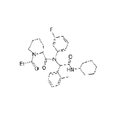 CCC(=O)N1CCCCC1C(=O)N(c1cccc(F)c1)C(C(=O)NC1CCCCC1)c1ccccc1C